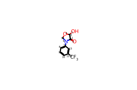 O=C1C(O)OCN1c1cccc(C(F)(F)F)c1